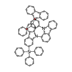 c1ccc(-c2cccc(-n3c4ccccc4c4cccc(-n5c6cc(-n7c8ccccc8c8ccccc87)ccc6c6ccc([Si](c7ccccc7)(c7ccccc7)c7ccccc7)cc65)c43)c2)cc1